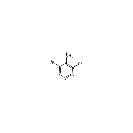 Fc1cccc(F)c1[SiH3]